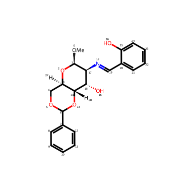 CO[C@@H]1O[C@@H]2COC(c3ccccc3)O[C@H]2[C@@H](O)[C@@H]1N=Cc1ccccc1O